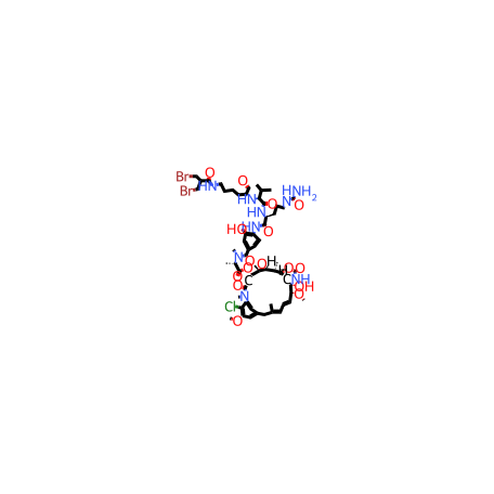 COc1cc2cc(c1Cl)N(C)C(=O)C[C@H](OC(=O)[C@H](C)N(C)C(=O)c1ccc(NC(=O)[C@H](CCCNC(N)=O)NC(=O)[C@@H](NC(C=O)CCCCNC(=O)C(CBr)CBr)C(C)C)c(O)c1)[C@]1(C)O[C@H]1[C@H](C)[C@@H]1C[C@@](O)(NC(=O)O1)[C@H](OC)/C=C/C=C(\C)C2